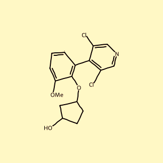 COc1cc[c]c(-c2c(Cl)cncc2Cl)c1OC1CCC(O)C1